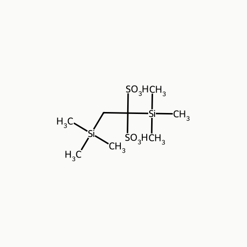 C[Si](C)(C)CC([Si](C)(C)C)(S(=O)(=O)O)S(=O)(=O)O